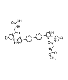 COC(=O)NCC(=O)N1CC2(CC2)C[C@H]1c1nc(-c2ccc(-c3ccc(-c4c[nH]c([C@@H]5CC6(CC6)CN5C(=O)CNC(=O)O)n4)cc3)cc2)c[nH]1